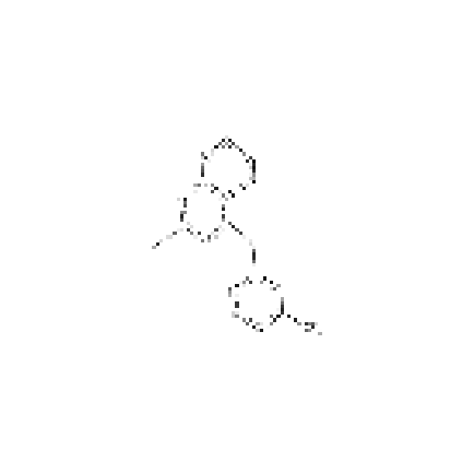 Cc1cc(Oc2cccc(C(F)(F)F)c2)c2cccnc2c1